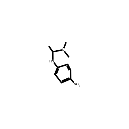 CC(Nc1ccc([N+](=O)[O-])cc1)N(C)C